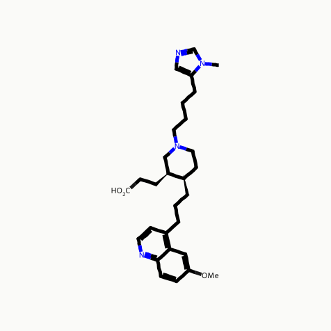 COc1ccc2nccc(CCC[C@@H]3CCN(CCCCc4cncn4C)C[C@@H]3CCC(=O)O)c2c1